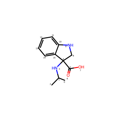 CC(C)NC1(C(=O)O)CNc2ccccc21